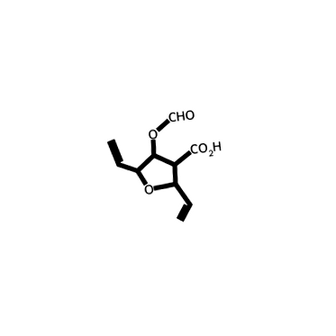 C=CC1OC(C=C)C(C(=O)O)C1OC=O